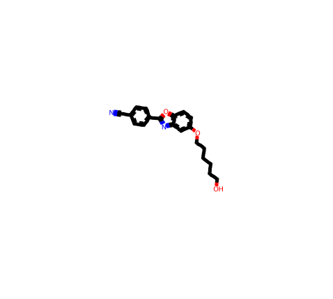 N#Cc1ccc(-c2nc3cc(OCCCCCCO)ccc3o2)cc1